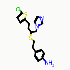 Nc1ccc(CCSC(CCc2ccc(Cl)s2)Cn2ccnc2)cc1